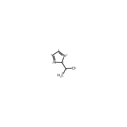 CC(Cl)C1N=CC=N1